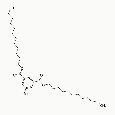 CCCCCCCCCCCCOC(=O)c1cc(O)cc(C(=O)OCCCCCCCCCCCC)c1